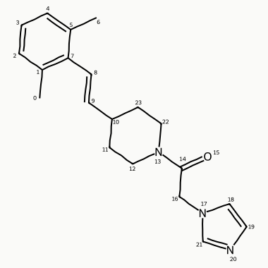 Cc1cccc(C)c1C=CC1CCN(C(=O)Cn2ccnc2)CC1